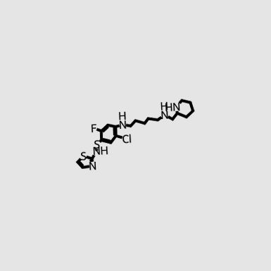 Fc1cc(NCCCCCNCC2CCCCN2)c(Cl)cc1SNc1nccs1